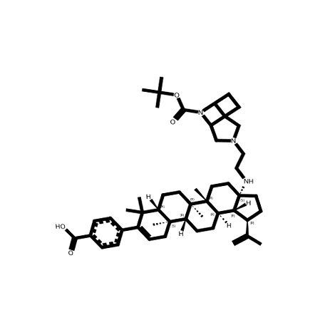 C=C(C)[C@@H]1CC[C@]2(NCCN3CC4N(C(=O)OC(C)(C)C)C5CCC54C3)CC[C@]3(C)[C@H](CC[C@@H]4[C@@]5(C)CC=C(c6ccc(C(=O)O)cc6)C(C)(C)[C@@H]5CC[C@]43C)[C@@H]12